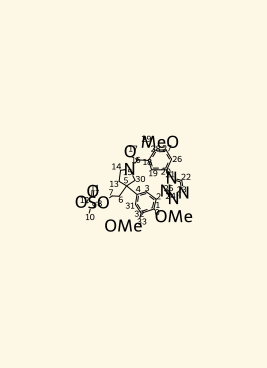 COc1ccc(C2(CCOS(C)(=O)=O)CCN(C(=O)c3cc(-n4cnnn4)ccc3OC)C2)cc1OC